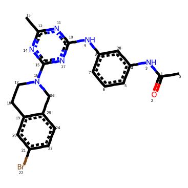 CC(=O)Nc1cccc(Nc2nc(C)nc(N3CCc4cc(Br)ccc4C3)n2)c1